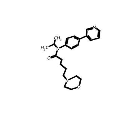 CC(C)N(C(=O)CCCCN1CCOCC1)c1ccc(-c2cccnc2)cc1